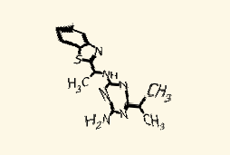 CC(C)c1nc(N)nc(NC(C)c2nc3ccccc3s2)n1